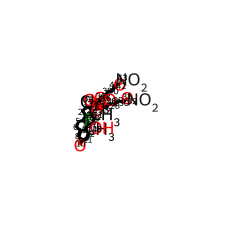 C[C@H]1CC2C3CCC4=CC(=O)C=C[C@]4(C)[C@@]3(F)[C@@H](O)C[C@]2(C)[C@@]1(OC(=O)CCCCCO[N+](=O)[O-])C(=O)COC(=O)CCCO[N+](=O)[O-]